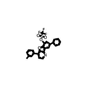 Cc1cccc(-c2ccnc3c2oc2c(OS(=O)(=O)C(F)(F)F)cc(-c4ccccc4)cc23)c1